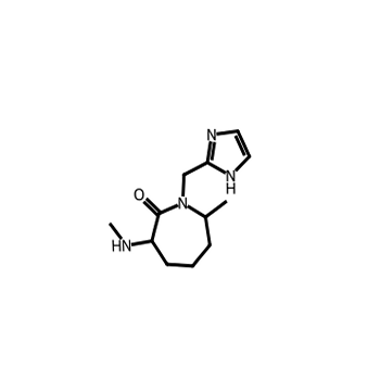 CNC1CCCC(C)N(Cc2ncc[nH]2)C1=O